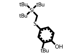 CC(C)(C)c1cc(SC[Si](C(C)(C)C)(C(C)(C)C)C(C)(C)C)ccc1O